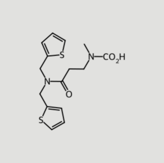 CN(CCC(=O)N(Cc1cccs1)Cc1cccs1)C(=O)O